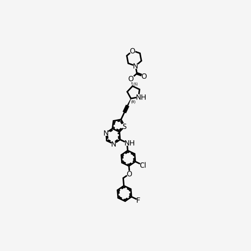 O=C(O[C@@H]1CN[C@@H](C#Cc2cc3ncnc(Nc4ccc(OCc5cccc(F)c5)c(Cl)c4)c3s2)C1)N1CCOCC1